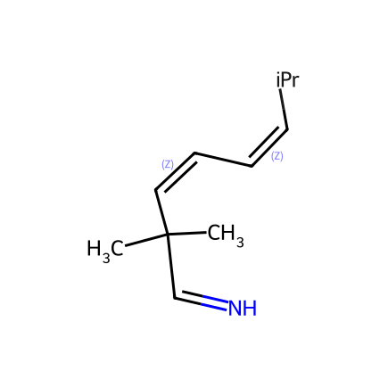 CC(C)/C=C\C=C/C(C)(C)C=N